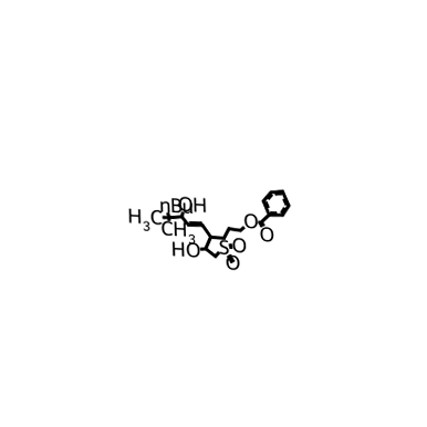 CCCCC(C)(C)C(O)/C=C/C1C(O)CS(=O)(=O)C1CCOC(=O)c1ccccc1